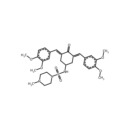 COc1ccc(/C=C2\CC(NS(=O)(=O)N3CCN(C)CC3)C/C(=C\c3ccc(OC)c(OC)c3)C2=O)cc1OC